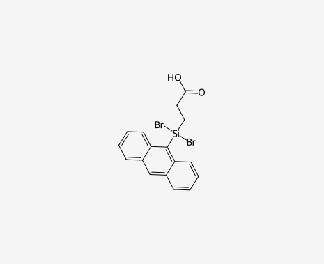 O=C(O)CC[Si](Br)(Br)c1c2ccccc2cc2ccccc12